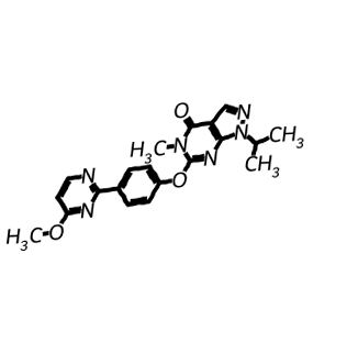 COc1ccnc(-c2ccc(Oc3nc4c(cnn4C(C)C)c(=O)n3C)cc2)n1